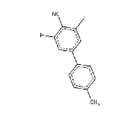 Cc1ccc(-c2cc(I)c(C#N)c(I)c2)cc1